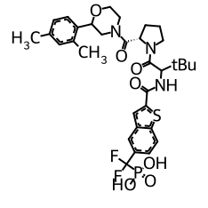 Cc1ccc(C2CN(C(=O)[C@@H]3CCCN3C(=O)C(NC(=O)c3cc4cc(C(F)(F)P(=O)(O)O)ccc4s3)C(C)(C)C)CCO2)c(C)c1